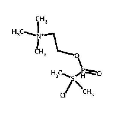 C[N+](C)(C)CCO[PH](=O)[Si](C)(C)Cl